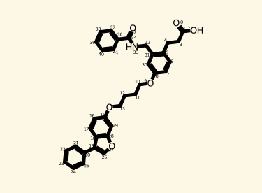 O=C(O)CCc1ccc(OCCCCOc2ccc3c(-c4ccccc4)coc3c2)cc1CNC(=O)c1ccccc1